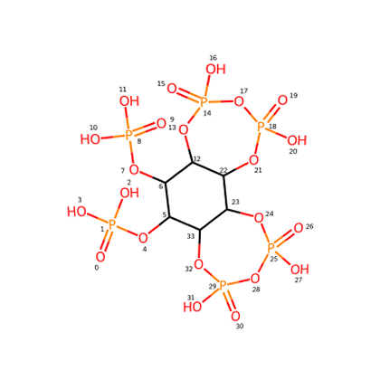 O=P(O)(O)OC1C(OP(=O)(O)O)C2OP(=O)(O)OP(=O)(O)OC2C2OP(=O)(O)OP(=O)(O)OC12